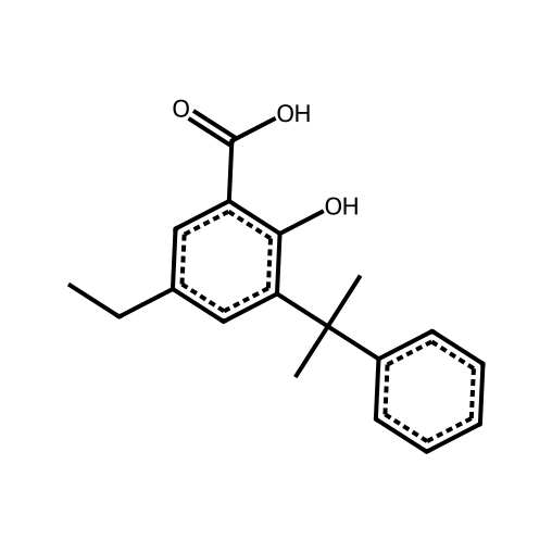 CCc1cc(C(=O)O)c(O)c(C(C)(C)c2ccccc2)c1